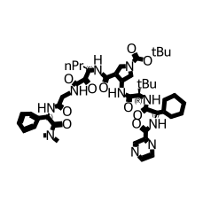 CCC[C@H](NC(=O)C1CN(C(=O)OC(C)(C)C)CC1NC(=O)[C@H](NC(=O)[C@@H](NC(=O)c1cnccn1)C1CCCCC1)C(C)(C)C)C(=O)C(=O)NCC(=O)N[C@H](C(=O)N(C)C)c1ccccc1